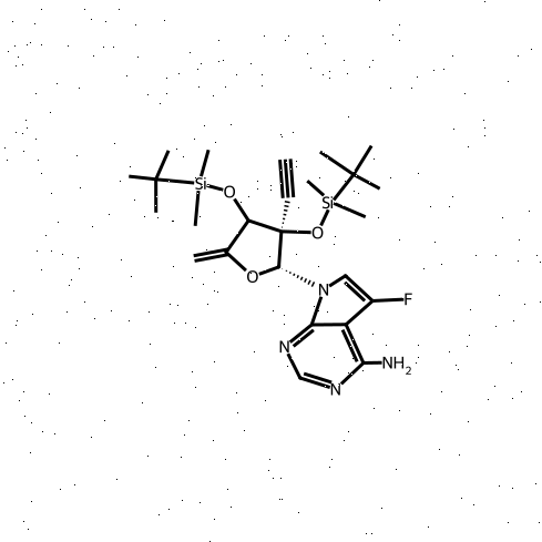 C#C[C@@]1(O[Si](C)(C)C(C)(C)C)C(O[Si](C)(C)C(C)(C)C)C(=C)O[C@H]1n1cc(F)c2c(N)ncnc21